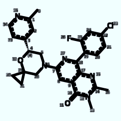 Cc1cc([C@@H]2CN(c3cc4c(=O)n(C)c(C)nc4c(-c4ccc(Cl)cc4F)n3)CC3(CC3)O2)ccn1